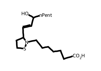 CCCCCC(O)C=CC1CCSN1CCCCCCC(=O)O